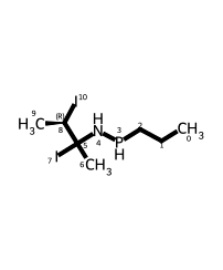 CCCPNC(C)(I)[C@@H](C)I